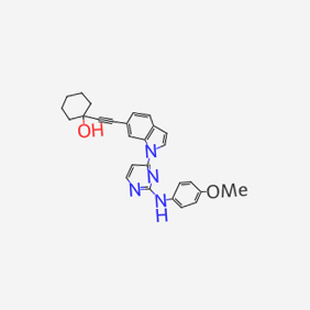 COc1ccc(Nc2nccc(-n3ccc4ccc(C#CC5(O)CCCCC5)cc43)n2)cc1